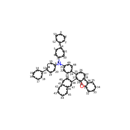 c1ccc(-c2ccc(N(c3ccc(-c4ccccc4)cc3)c3ccc(-c4ccc5c(oc6ccccc65)c4-c4ccc5ccccc5c4)cc3)cc2)cc1